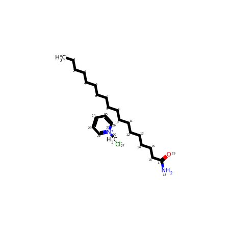 CCCCCCCCCCCCCCCCCC(N)=O.C[n+]1ccccc1.[Cl-]